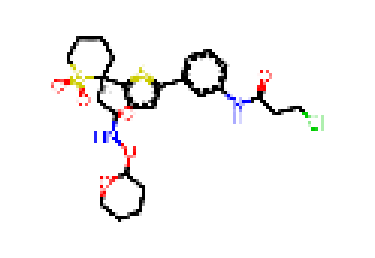 O=C(C[C@]1(c2ccc(-c3cccc(NC(=O)CCCl)c3)s2)CCCCS1(=O)=O)NOC1CCCCO1